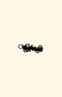 Cc1cccn(CC(=O)N2CCC(c3nc(C4=NOC(c5c(Cl)cc(Cl)cc5Cl)C4)cs3)CC2)c1=O